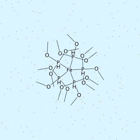 CO[PH](OC)(OC)[Fe]([PH](OC)(OC)OC)([PH](OC)(OC)OC)([PH](OC)(OC)OC)[PH](OC)(OC)OC